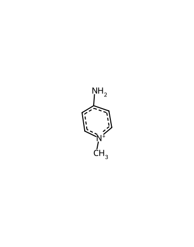 C[n+]1ccc(N)cc1